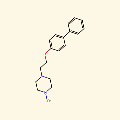 CC(C)N1CCN(CCOc2ccc(-c3ccccc3)cc2)CC1